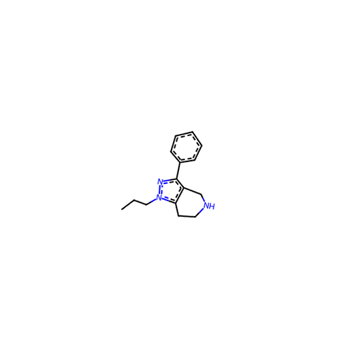 CCCn1nc(-c2ccccc2)c2c1CCNC2